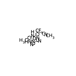 Cc1ccc(NC(=O)c2ccc(CC3CCN(C)CC3)c(C(F)(F)F)c2)cc1Nc1nccc(-c2cncnc2)n1